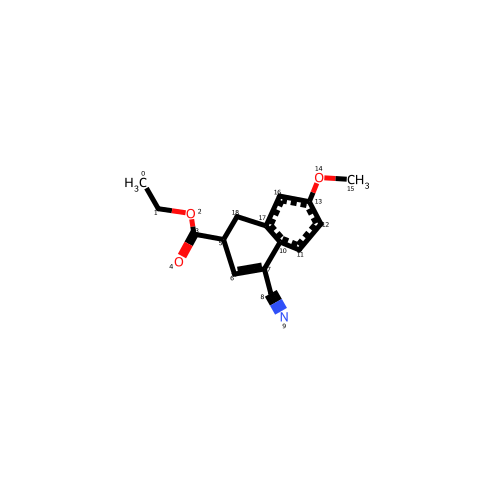 CCOC(=O)C1C=C(C#N)c2ccc(OC)cc2C1